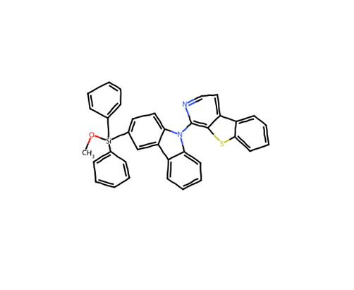 CO[Si](c1ccccc1)(c1ccccc1)c1ccc2c(c1)c1ccccc1n2-c1nccc2c1sc1ccccc12